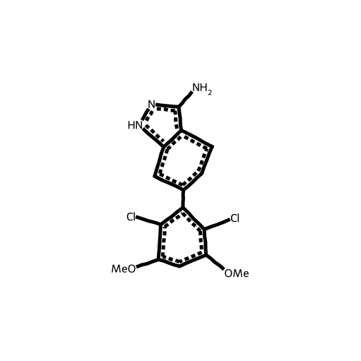 COc1cc(OC)c(Cl)c(-c2ccc3c(N)n[nH]c3c2)c1Cl